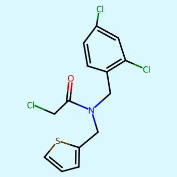 O=C(CCl)N(Cc1cccs1)Cc1ccc(Cl)cc1Cl